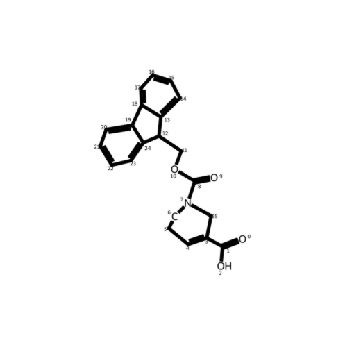 O=C(O)C1=CCCN(C(=O)OCC2c3ccccc3-c3ccccc32)C1